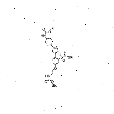 CC(C)OC(=O)NC1CCC(C2=NC=C(c3ccc(OCCNC(=O)OC(C)(C)C)cc3S(=O)(=O)NC(C)(C)C)C2)CC1